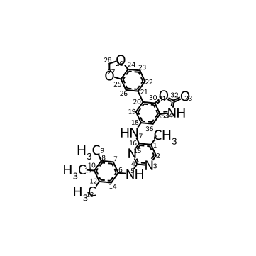 Cc1cnc(Nc2cc(C)c(C)c(C)c2)nc1Nc1cc(-c2ccc3c(c2)OCO3)c2oc(=O)[nH]c2c1